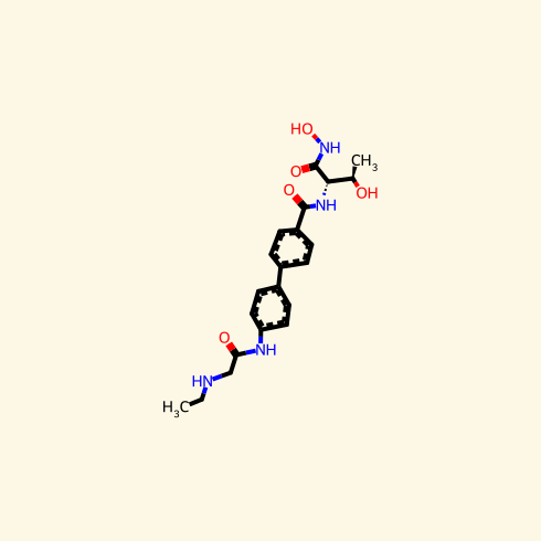 CCNCC(=O)Nc1ccc(-c2ccc(C(=O)N[C@H](C(=O)NO)[C@@H](C)O)cc2)cc1